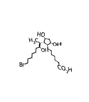 CC(=C(O)CCCCCCBr)[C@H]1[C@H](CCCCCCC(=O)O)[C@H](O)C[C@H]1O